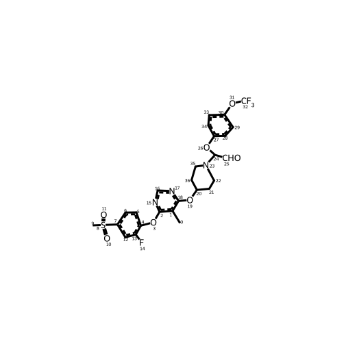 Cc1c(Oc2ccc(S(C)(=O)=O)cc2F)ncnc1OC1CCN(C(C=O)Oc2ccc(OC(F)(F)F)cc2)CC1